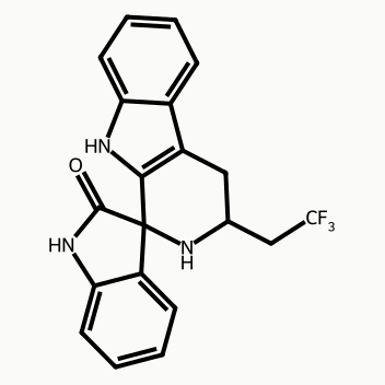 O=C1Nc2ccccc2C12NC(CC(F)(F)F)Cc1c2[nH]c2ccccc12